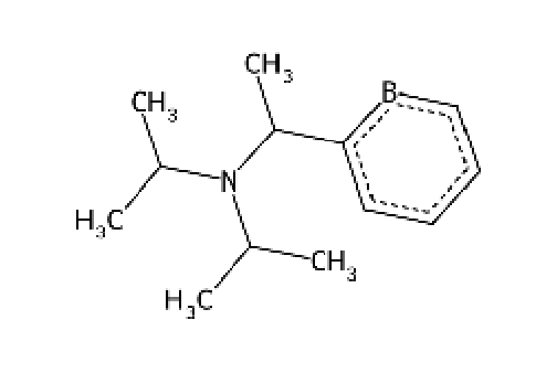 CC(C)N(C(C)C)C(C)c1bcccc1